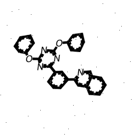 c1ccc(Oc2nc(Oc3ccccc3)nc(-c3cccc(-c4cc5ccccc5cn4)c3)n2)cc1